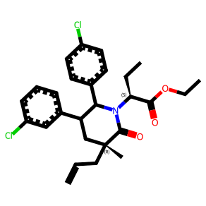 C=CC[C@]1(C)CC(c2cccc(Cl)c2)C(c2ccc(Cl)cc2)N([C@@H](CC)C(=O)OCC)C1=O